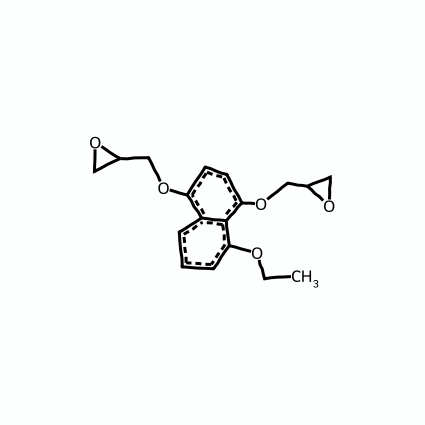 CCOc1cccc2c(OCC3CO3)ccc(OCC3CO3)c12